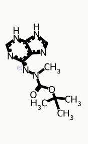 CN(/N=c1/nc[nH]c2[nH]cnc12)C(=O)OC(C)(C)C